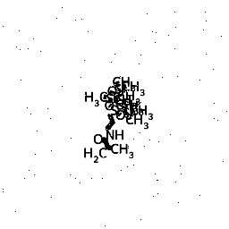 C=C(C)C(=O)NCCC[Si](C)(O[Si](C)(C)C)O[Si](C)(C)O[Si](C)(C)C